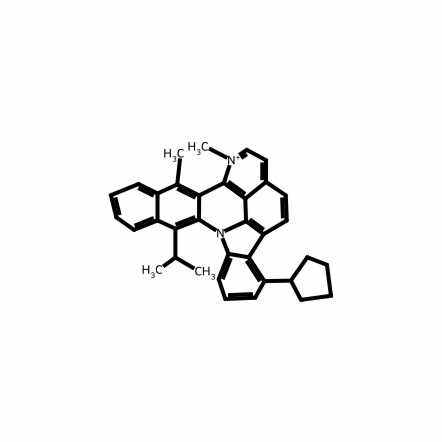 Cc1c2ccccc2c(C(C)C)c2c1c1c3c(ccc4c5c(C6CCCC6)cccc5n2c43)cc[n+]1C